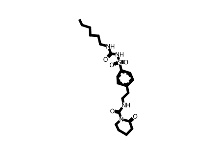 CCCCCCNC(=O)NS(=O)(=O)c1ccc(CCNC(=O)N2CCCCC2=O)cc1